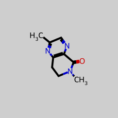 Cc1cnc2c(n1)CCN(C)C2=O